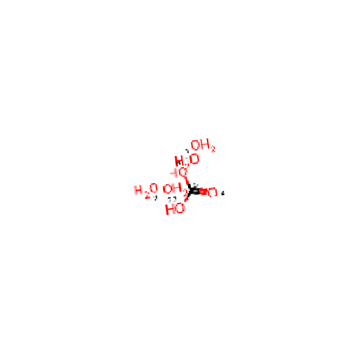 O.O.O.O.O=C(O)O